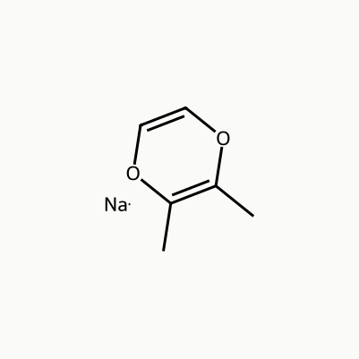 CC1=C(C)OC=CO1.[Na]